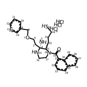 Cl.Cl.Cl.N[C@@]1(CCOCc2cccnc2)NCCN(C(=O)c2cccc3ccccc23)C1CCCS